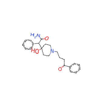 NC(=O)C(c1ccccc1)C1(O)CCN(CCCC(=O)c2ccccc2)CC1